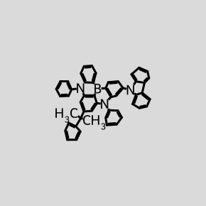 CC(C)(c1ccccc1)c1cc2c3c(c1)N(c1ccccc1)c1cc(-n4c5ccccc5c5ccccc54)ccc1B3c1ccccc1N2c1ccccc1